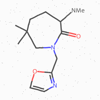 CNC1CCC(C)(C)CN(Cc2ncco2)C1=O